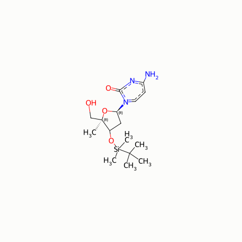 CC(C)(C)[Si](C)(C)OC1C[C@H](n2ccc(N)nc2=O)O[C@]1(C)CO